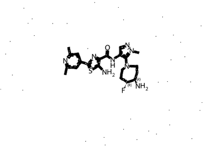 Cc1cc(-c2nc(C(=O)Nc3cnn(C)c3N3CC[C@@H](N)[C@H](F)CC3)c(N)s2)cc(C)n1